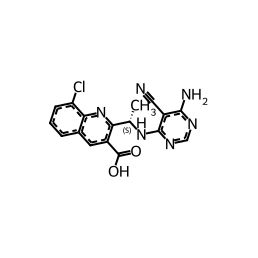 C[C@H](Nc1ncnc(N)c1C#N)c1nc2c(Cl)cccc2cc1C(=O)O